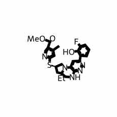 CC[C@@]12CNc3nnc(-c4cccc(F)c4O)cc3N1C[C@H](Sc1cc(C)c(C(=O)OC)cn1)C2